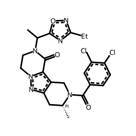 CCc1noc(C(C)N2CCn3nc4c(c3C2=O)CN(C(=O)c2ccc(Cl)c(Cl)c2)[C@H](C)C4)n1